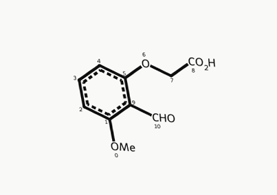 COc1cccc(OCC(=O)O)c1C=O